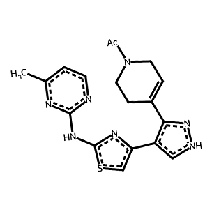 CC(=O)N1CC=C(c2n[nH]cc2-c2csc(Nc3nccc(C)n3)n2)CC1